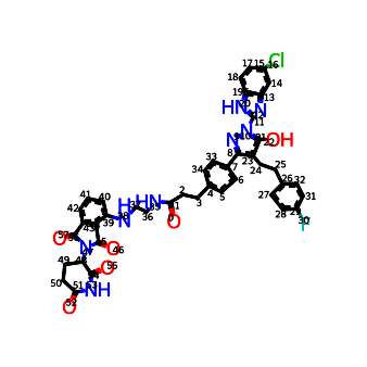 O=C(CCc1ccc(-c2nn(-c3nc4cc(Cl)ccc4[nH]3)c(O)c2CCc2ccc(F)cc2)cc1)NCCNc1cccc2c1C(=O)N(C1CCC(=O)NC1=O)C2=O